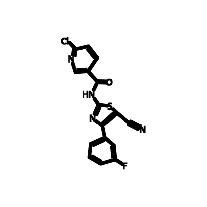 N#Cc1sc(NC(=O)c2ccc(Cl)nc2)nc1-c1cccc(F)c1